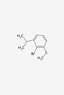 [CH2]C(C)c1cccc(SC)c1Br